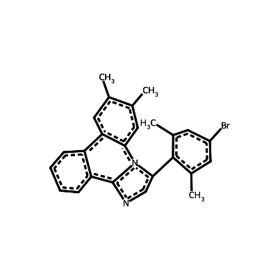 Cc1cc2c3ccccc3c3ncc(-c4c(C)cc(Br)cc4C)n3c2cc1C